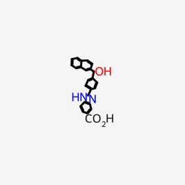 O=C(O)c1ccc2[nH]c(-c3ccc(C(O)c4ccc5ccccc5c4)cc3)nc2c1